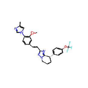 COc1cc(/C=C/c2nc3n(n2)CCC[C@H]3c2ccc(OC(F)(F)F)cc2)ccc1-n1cnc(C)c1